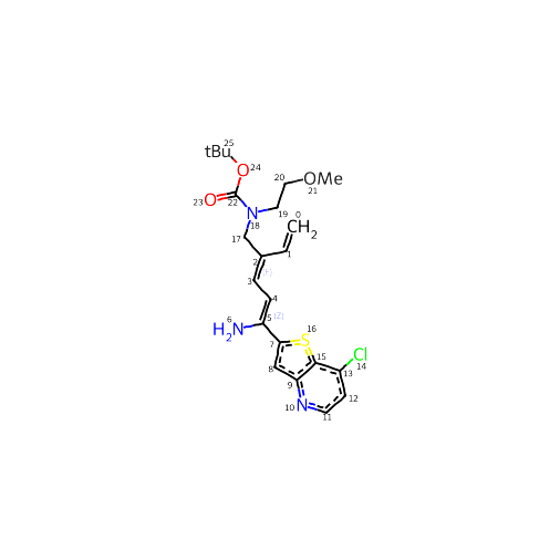 C=C/C(=C\C=C(/N)c1cc2nccc(Cl)c2s1)CN(CCOC)C(=O)OC(C)(C)C